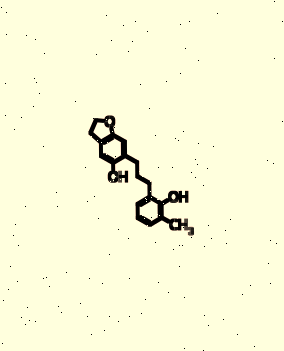 Cc1cccc(CCCc2cc3c(cc2O)CCO3)c1O